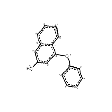 Oc1cc(Oc2ccccc2)c2ccccc2c1